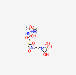 CC(C)C(=O)C(NC(=O)C(C)C(C)C)NC(O)C(=O)CSC1CC(=O)N(CCCCN2C[C@H](O)[C@@H](C)[C@@H](O)[C@H]2CO)C1=O